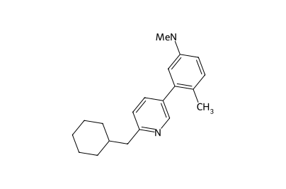 CNc1ccc(C)c(-c2ccc(CC3CCCCC3)nc2)c1